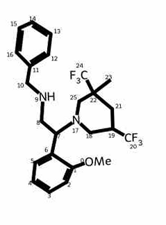 COc1ccccc1C(CNCc1ccccc1)N1CC(C(F)(F)F)CC(C)(C(F)(F)F)C1